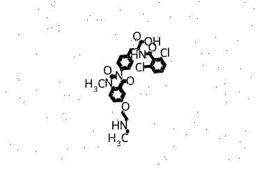 CCNCCOc1ccc2c(c1)c(=O)n(-c1ccc(C[C@H](NC(=O)c3c(Cl)cccc3Cl)C(=O)O)cc1)c(=O)n2C